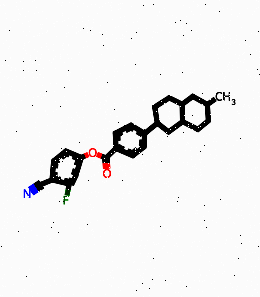 CC1CCC2CC(c3ccc(C(=O)Oc4ccc(C#N)c(F)c4)cc3)CCC2C1